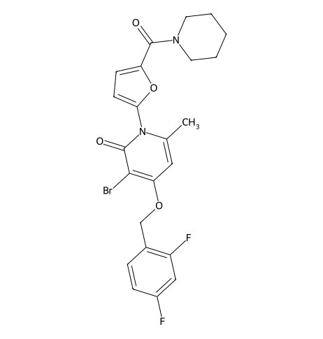 Cc1cc(OCc2ccc(F)cc2F)c(Br)c(=O)n1-c1ccc(C(=O)N2CCCCC2)o1